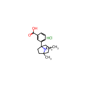 CC1CC2(C)CCC(c3cccc(C(=O)O)c3)(C1)N2C.Cl